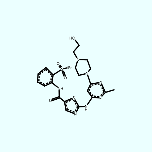 Cc1nc(Nc2ncc(C(=O)Nc3ccccc3S(=O)(=O)C(C)C)s2)cc(N2CCN(CCO)CC2)n1